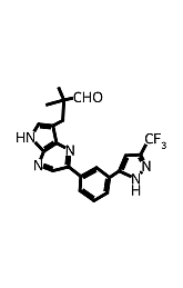 CC(C)(C=O)Cc1c[nH]c2ncc(-c3cccc(-c4cc(C(F)(F)F)n[nH]4)c3)nc12